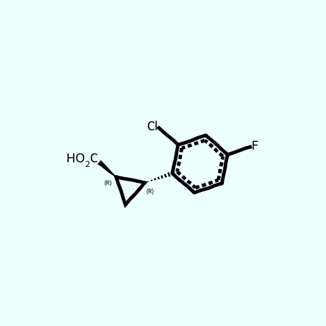 O=C(O)[C@@H]1C[C@H]1c1ccc(F)cc1Cl